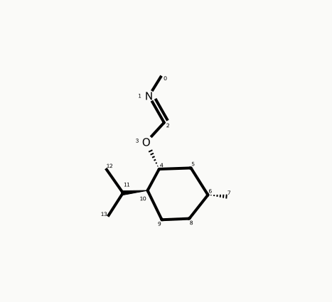 C/N=C/O[C@@H]1C[C@H](C)CC[C@H]1C(C)C